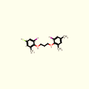 Cc1cc(C)c(OCCCOc2c(I)cc(F)cc2C(F)(F)F)c(I)c1